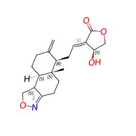 C=C1CC[C@H]2[C@@](C)(CCC3=NOC[C@]32C)[C@@H]1C/C=C1/C(=O)OC[C@H]1O